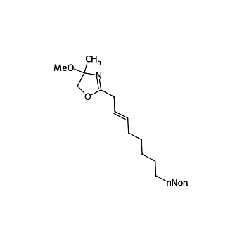 CCCCCCCCCCCCCCC=CCC1=NC(C)(OC)CO1